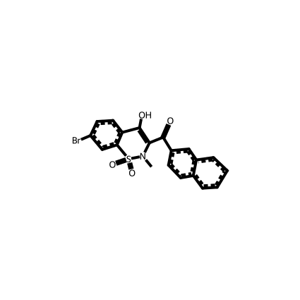 CN1C(C(=O)c2ccc3ccccc3c2)=C(O)c2ccc(Br)cc2S1(=O)=O